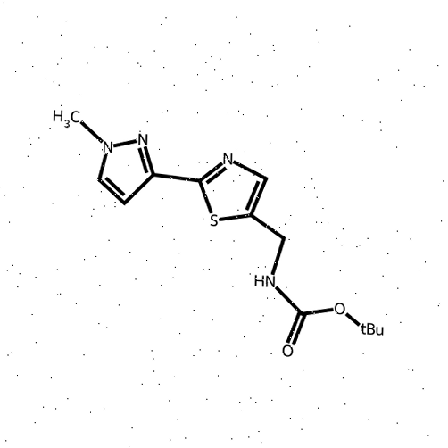 Cn1ccc(-c2ncc(CNC(=O)OC(C)(C)C)s2)n1